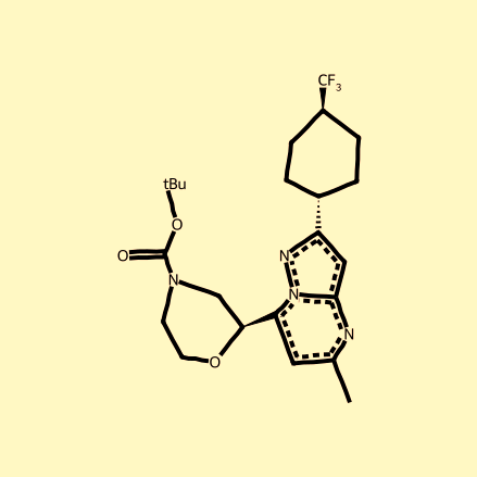 Cc1cc([C@@H]2CN(C(=O)OC(C)(C)C)CCO2)n2nc([C@H]3CC[C@H](C(F)(F)F)CC3)cc2n1